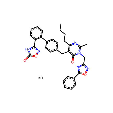 CCCCc1nc(C)n(Cc2noc(-c3ccccc3)n2)c(=O)c1Cc1ccc(-c2ccccc2-c2noc(=O)[nH]2)cc1.[KH]